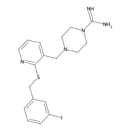 N=C(N)N1CCN(Cc2cccnc2SCc2cccc(I)c2)CC1